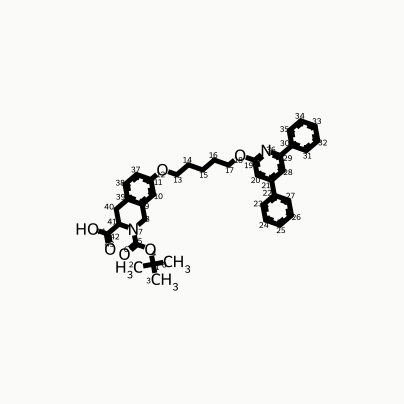 CC(C)(C)OC(=O)N1Cc2cc(OCCCCCOc3cc(-c4ccccc4)cc(-c4ccccc4)n3)ccc2CC1C(=O)O